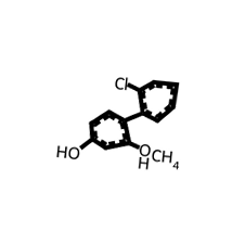 C.Oc1ccc(-c2ccccc2Cl)c(O)c1